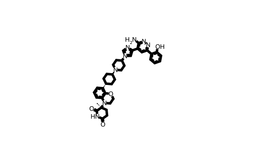 C[C@]1(N2CCOc3c2cccc3[C@H]2CC[C@H](N3CCC(n4cnc(-c5cc(-c6ccccc6O)nnc5N)c4)CC3)CC2)CCC(=O)NC1=O